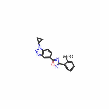 COc1ccccc1-c1noc(-c2ccc3c(c2)nnn3C2CC2)n1